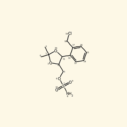 CC1(C)OC(COS(N)(=O)=O)C(c2ccccc2CCl)O1